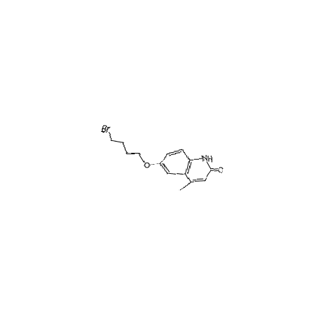 Cc1cc(=O)[nH]c2ccc(OCCCCBr)cc12